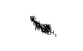 CC1=N[C@@]2(c3cc(NC(=O)c4cnc(OCC5CC5(F)F)cn4)ccc3F)COC[C@@]2(F)CS1